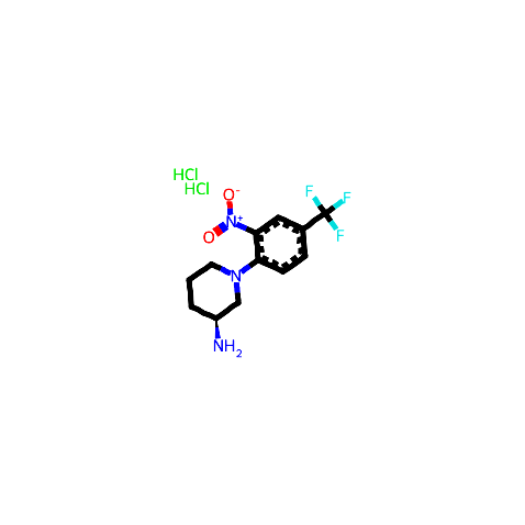 Cl.Cl.N[C@H]1CCCN(c2ccc(C(F)(F)F)cc2[N+](=O)[O-])C1